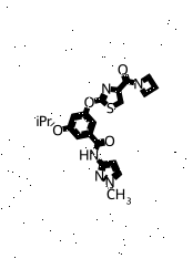 CC(C)Oc1cc(OC2=NC(C(=O)N3CCC3)CS2)cc(C(=O)Nc2ccn(C)n2)c1